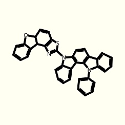 C1=CC2Oc3ccccc3C2c2nc(-n3c4ccccc4c4c3ccc3c5ccccc5n(-c5ccccc5)c34)sc21